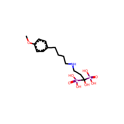 COc1ccc(CCCCNCCC(O)(P(=O)(O)O)P(=O)(O)O)cc1